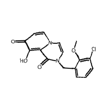 COc1c(Cl)cccc1Cn1ccn2ccc(=O)c(O)c2c1=O